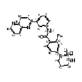 O=C(Nc1cccc(-c2ccc3ncccc3n2)c1)c1ccc(N2CCCNS2(=O)=O)cc1F